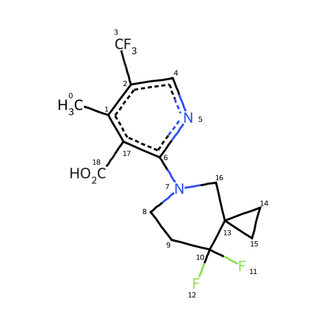 Cc1c(C(F)(F)F)cnc(N2CCC(F)(F)C3(CC3)C2)c1C(=O)O